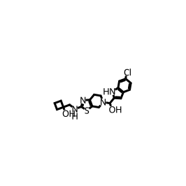 OC(c1cc2ccc(Cl)cc2[nH]1)N1CCc2nc(NCC3(O)CCC3)sc2C1